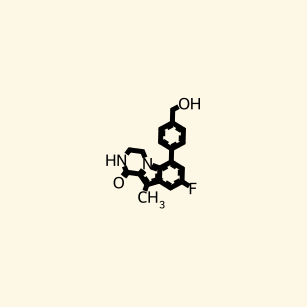 Cc1c2n(c3c(-c4ccc(CO)cc4)cc(F)cc13)CCNC2=O